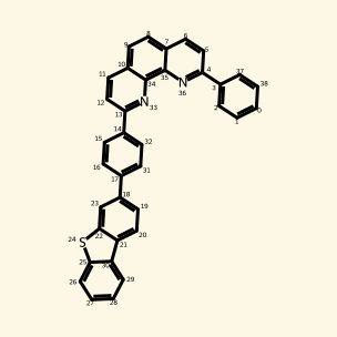 c1ccc(-c2ccc3ccc4ccc(-c5ccc(-c6ccc7c(c6)sc6ccccc67)cc5)nc4c3n2)cc1